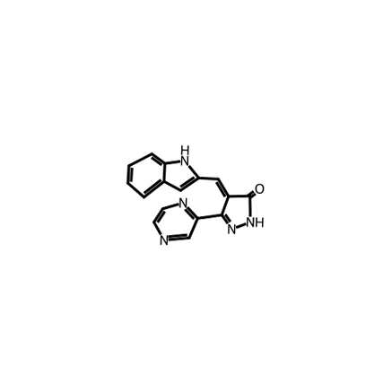 O=C1NN=C(c2cnccn2)/C1=C\c1cc2ccccc2[nH]1